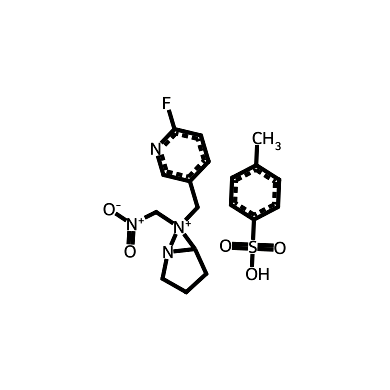 Cc1ccc(S(=O)(=O)O)cc1.O=[N+]([O-])C[N+]1(Cc2ccc(F)nc2)C2CCCN21